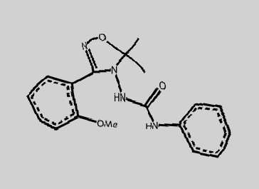 COc1ccccc1C1=NOC(C)(C)N1NC(=O)Nc1ccccc1